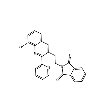 O=C1c2ccccc2C(=O)N1CCc1cc2cccc(Cl)c2nc1-c1ccccn1